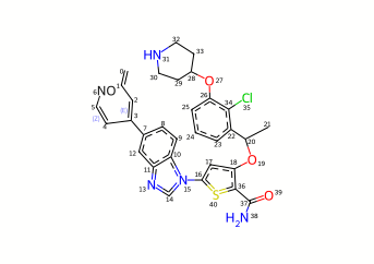 C=C/C=C(\C=C/N=O)c1ccc2c(c1)ncn2-c1cc(OC(C)c2cccc(OC3CCNCC3)c2Cl)c(C(N)=O)s1